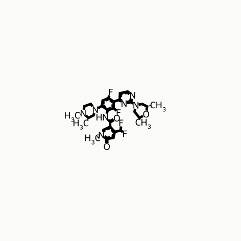 C[C@@H]1CN(c2nccc(-c3c(F)cc(N4CCN(C)[C@@H](C)C4)c(NC(=O)c4cn(C)c(=O)cc4C(F)F)c3F)n2)C[C@H](C)O1